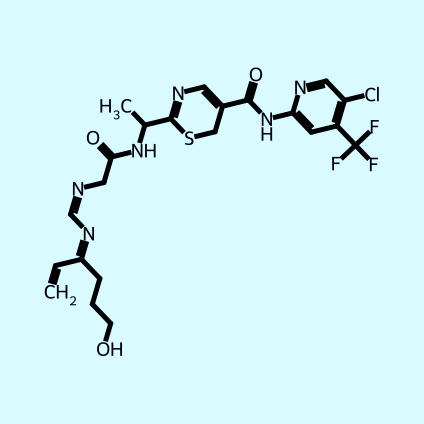 C=C/C(CCCO)=N\C=N/CC(=O)NC(C)C1=NC=C(C(=O)Nc2cc(C(F)(F)F)c(Cl)cn2)CS1